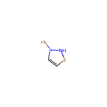 SN1C=CSN1